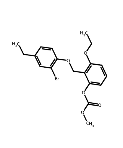 CCOc1cccc(OC(=O)OC)c1COc1ccc(CC)cc1Br